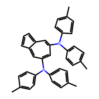 Cc1ccc(N(c2ccc(C)cc2)c2cc3cccc-3cc(N(c3ccc(C)cc3)c3ccc(C)cc3)c2)cc1